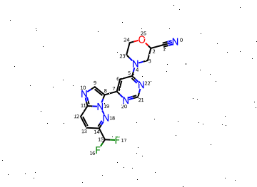 N#CC1CN(c2cc(-c3cnc4ccc(C(F)F)nn34)ncn2)CCO1